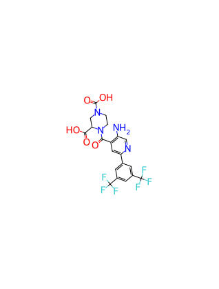 Nc1cnc(-c2cc(C(F)(F)F)cc(C(F)(F)F)c2)cc1C(=O)N1CCN(C(=O)O)CC1C(=O)O